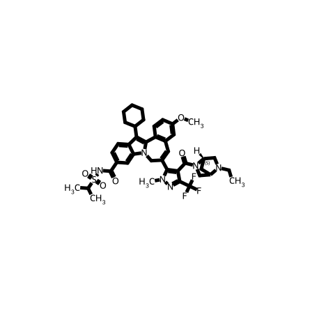 CCN1C[C@@H]2CC1CN2C(=O)c1c(C(F)(F)F)nn(C)c1C1=Cc2cc(OC)ccc2-c2c(C3CCCCC3)c3ccc(C(=O)NS(=O)(=O)C(C)C)cc3n2C1